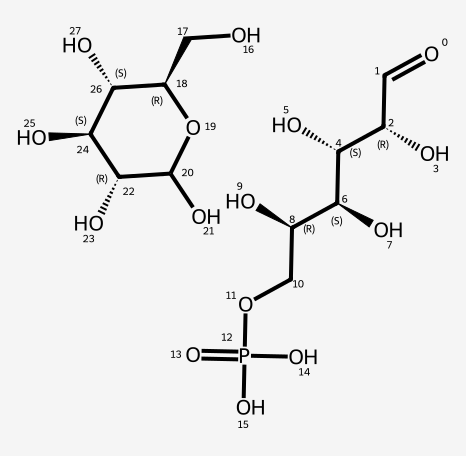 O=C[C@H](O)[C@@H](O)[C@@H](O)[C@H](O)COP(=O)(O)O.OC[C@H]1OC(O)[C@H](O)[C@@H](O)[C@@H]1O